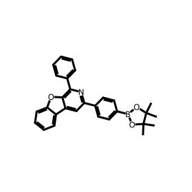 CC1(C)OB(c2ccc(-c3cc4c(oc5ccccc54)c(-c4ccccc4)n3)cc2)OC1(C)C